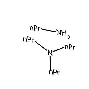 CCCN.CCCN(CCC)CCC